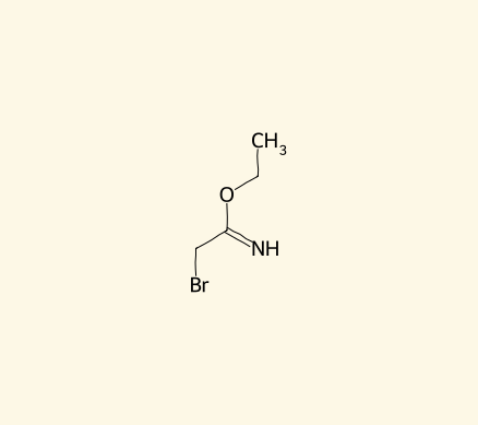 CCOC(=N)CBr